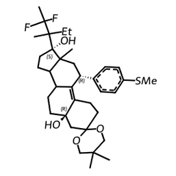 CCC(C)(C(C)(F)F)[C@]1(O)CCC2C3CC[C@@]4(O)CC5(CCC4=C3[C@@H](c3ccc(SC)cc3)CC21C)OCC(C)(C)CO5